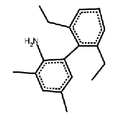 CCc1cccc(CC)c1-c1cc(C)cc(C)c1N